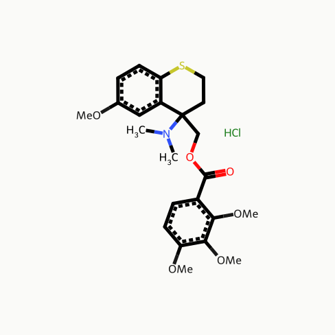 COc1ccc2c(c1)C(COC(=O)c1ccc(OC)c(OC)c1OC)(N(C)C)CCS2.Cl